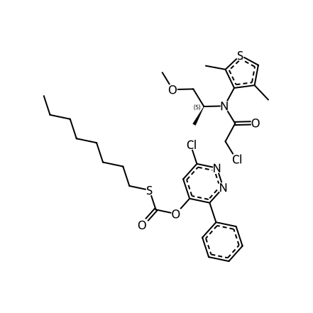 CCCCCCCCSC(=O)Oc1cc(Cl)nnc1-c1ccccc1.COC[C@H](C)N(C(=O)CCl)c1c(C)csc1C